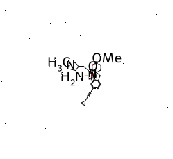 COC1CCC2(CC1)Cc1ccc(C#CC3CC3)cc1[C@]21N=C(N)N(CC2CCN(C)C2)C1=O